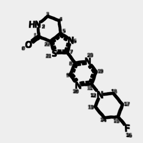 O=C1NCCc2nc(-c3cnc(N4CCC(F)CC4)cn3)sc21